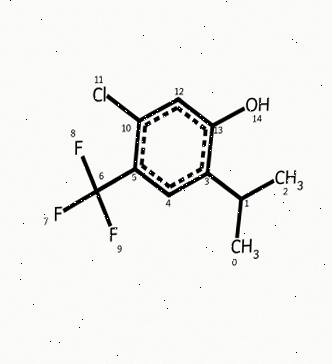 CC(C)c1cc(C(F)(F)F)c(Cl)cc1O